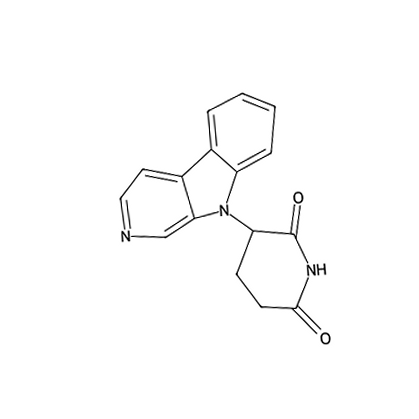 O=C1CCC(n2c3ccccc3c3ccncc32)C(=O)N1